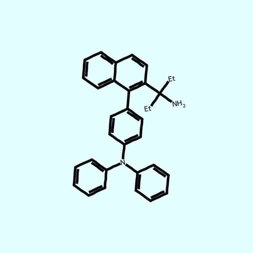 CCC(N)(CC)c1ccc2ccccc2c1-c1ccc(N(c2ccccc2)c2ccccc2)cc1